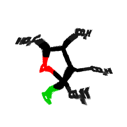 O=C(O)C1OC(Cl)(C(=O)O)C(C(=O)O)C1C(=O)O